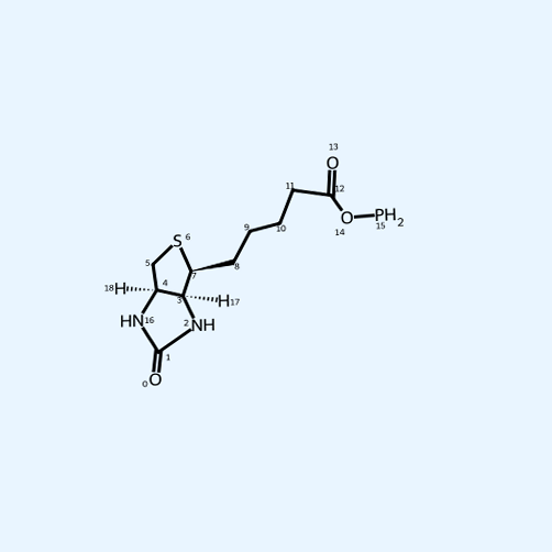 O=C1N[C@H]2[C@H](CS[C@H]2CCCCC(=O)OP)N1